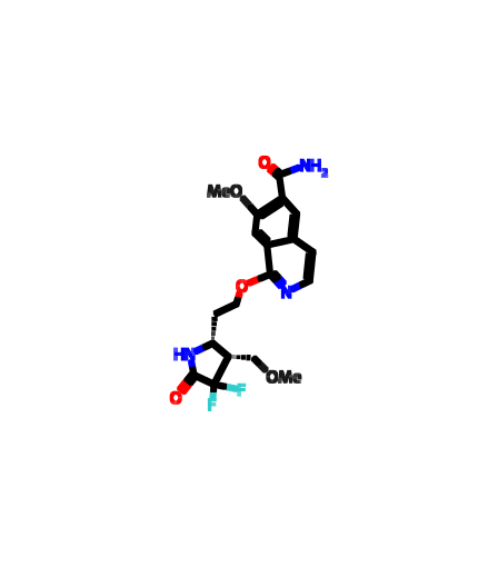 COC[C@H]1[C@@H](CCOc2nccc3cc(C(N)=O)c(OC)cc23)NC(=O)C1(F)F